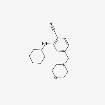 N#Cc1ccc(CN2CCOCC2)cc1NC1CCCCC1